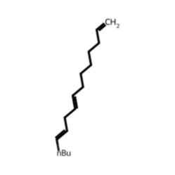 C=CCCCCCC=CCC=CCCCC